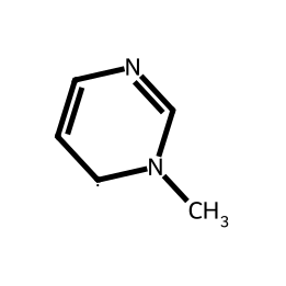 CN1[CH]C=CN=C1